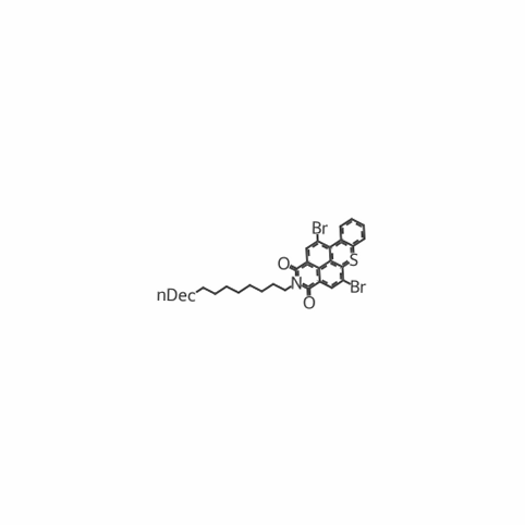 CCCCCCCCCCCCCCCCCCn1c(=O)c2cc(Br)c3sc4ccccc4c4c(Br)cc(c1=O)c2c34